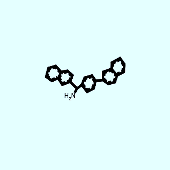 NC(c1ccc(-c2ccc3ccccc3c2)cc1)c1ccc2ccccc2c1